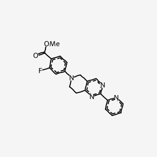 COC(=O)c1ccc(N2CCc3nc(-c4ccccn4)ncc3C2)cc1F